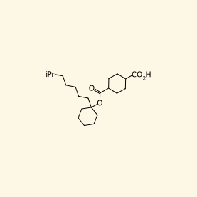 CC(C)CCCCCC1(OC(=O)C2CCC(C(=O)O)CC2)CCCCC1